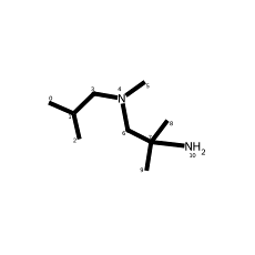 CC(C)CN(C)CC(C)(C)N